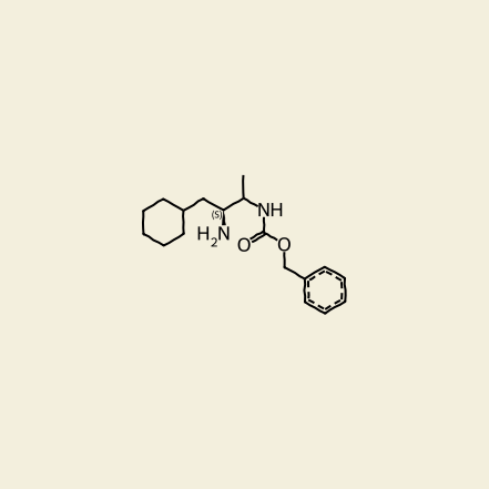 CC(NC(=O)OCc1ccccc1)[C@@H](N)CC1CCCCC1